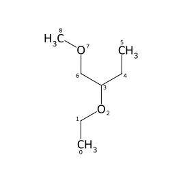 CCOC(CC)COC